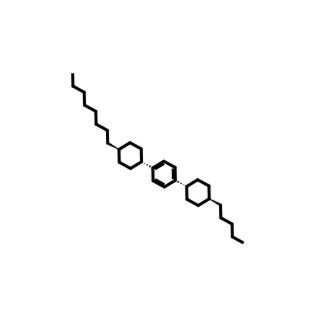 CCCCCCCC[C@H]1CC[C@H](c2ccc([C@H]3CC[C@H](CCCCC)CC3)cc2)CC1